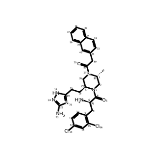 C[C@@H]1CN(C(=O)[C@H](N)Cc2ccc(Cl)cc2Cl)[C@@H](CCc2nc(N)n[nH]2)CN1C(=O)Cc1ccc2ccccc2c1